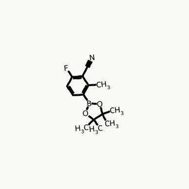 Cc1c(B2OC(C)(C)C(C)(C)O2)ccc(F)c1C#N